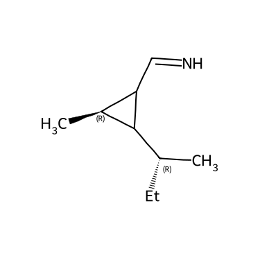 CC[C@@H](C)C1C(C=N)[C@@H]1C